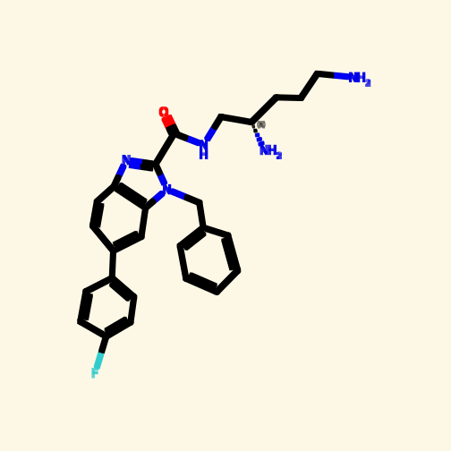 NCCC[C@H](N)CNC(=O)c1nc2ccc(-c3ccc(F)cc3)cc2n1Cc1ccccc1